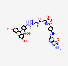 Nc1nc2ncc(CNc3ccc(C(=O)NC(CCC(=O)NCCNC(=S)Nc4ccc(C5=C6C=CC(O)C=C6Oc6cc(O)ccc65)c(C(=O)O)c4)C(=O)O)cc3)nc2c(=O)[nH]1